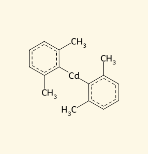 Cc1cccc(C)[c]1[Cd][c]1c(C)cccc1C